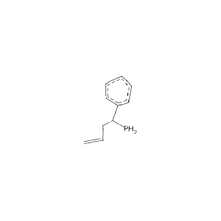 C=CCC(P)c1ccccc1